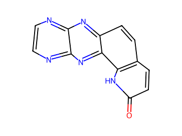 O=c1ccc2ccc3nc4nccnc4nc3c2[nH]1